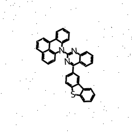 c1ccc2c(c1)-c1cccc3cccc(c13)N2c1nc(-c2ccc3sc4ccccc4c3c2)c2ccccc2n1